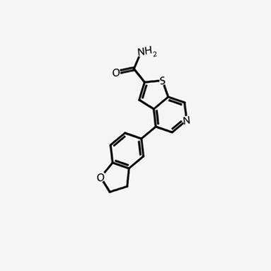 NC(=O)c1cc2c(-c3ccc4c(c3)CCO4)cncc2s1